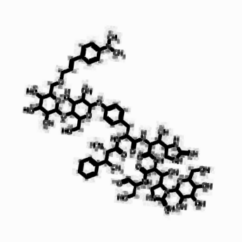 CC(c1ccccc1)[C@H](N)C(=O)N[C@@H](Cc1ccc(OC2OC(CO)C(OC3OC(COCC=Cc4ccc(N(C)C)cc4)C(O)C(O)C3O)C(O)C2O)cc1)C(=O)N[C@H](C(=O)N[C@H](C(=O)N[C@H]([C]=O)CO)C(O)C1CNC(=N)N1C1OC(CO)C(O)C(O)C1O)C(O)C1CNC(=N)N1